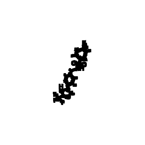 O=S(=O)(NCc1ccc(C2=NOC(C(F)(F)F)N2)cc1)c1ccc(F)cc1